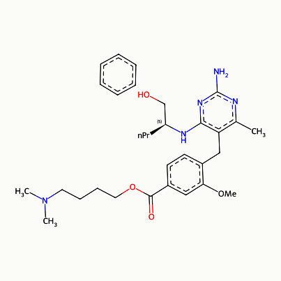 CCC[C@@H](CO)Nc1nc(N)nc(C)c1Cc1ccc(C(=O)OCCCCN(C)C)cc1OC.c1ccccc1